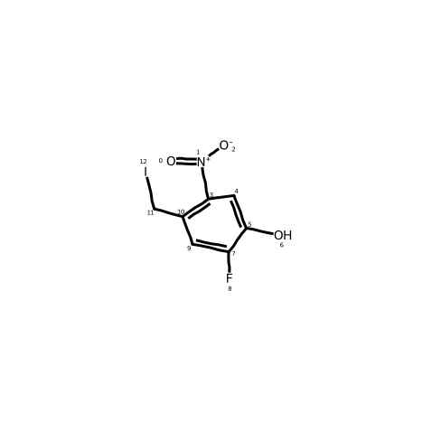 O=[N+]([O-])c1cc(O)c(F)cc1CI